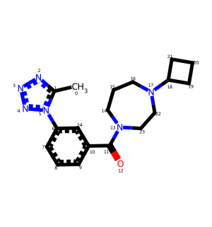 Cc1nnnn1-c1cccc(C(=O)N2CCCN(C3CCC3)CC2)c1